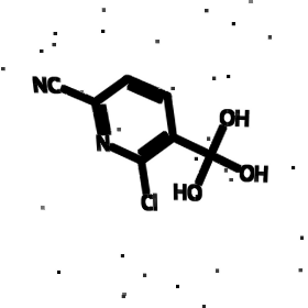 N#Cc1ccc(C(O)(O)O)c(Cl)n1